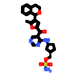 Cc1oc(C(=O)c2cncnc2N[C@H]2CC[C@@H](COS(N)(=O)=O)C2)cc1C1OCCc2ccccc21